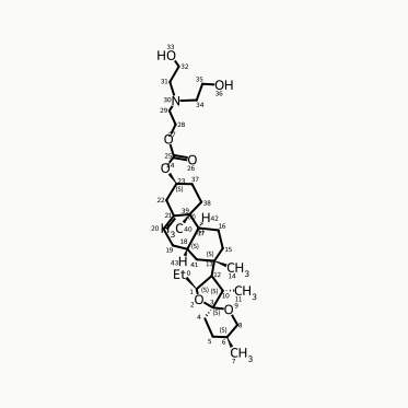 CC[C@@H]1O[C@@]2(CC[C@H](C)CO2)[C@@H](C)C1[C@@]1(C)CC[C@H]2[C@@H](CC=C3C[C@@H](OC(=O)OCCN(CCO)CCO)CC[C@@]32C)C1